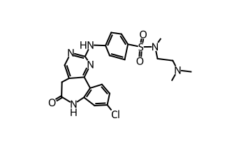 CN(C)CCN(C)S(=O)(=O)c1ccc(Nc2ncc3c(n2)-c2ccc(Cl)cc2NC(=O)C3)cc1